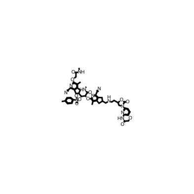 CNC(=O)COc1nc(C#N)c2c(c1C)CC(C(OS(=O)(=O)c1ccc(C)cc1)C(Oc1nc(C#N)c3c(c1C)CC(CNCCC1CN(c4ccc5c(n4)NC(=O)CO5)C(=O)O1)C3)C(=O)NC)C2